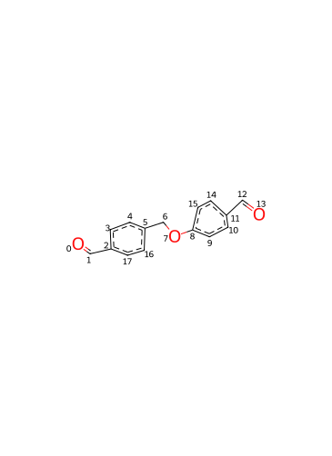 O=Cc1ccc(COc2ccc(C=O)cc2)cc1